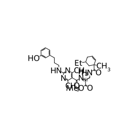 CCC1CC=CC(C)(C(=O)NC[C@H](NC(=O)c2c(C)nc(NCCCc3cccc(O)c3)nc2C)C(=O)OC)C1